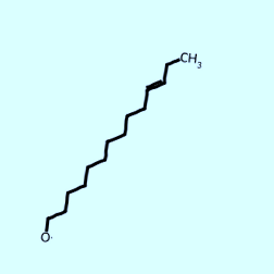 CC/C=C/CCCCCCCCCC[O]